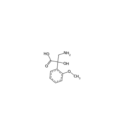 COc1ccccc1C(O)(CN)C(=O)O